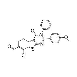 COc1ccc(-c2nc3sc4c(c3c(=O)n2-c2ccccc2)CCC(C=O)=C4Cl)cc1